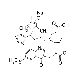 CSc1ccc2ncn(/C=C/C(=O)[O-])c(=O)c2c1.Cc1ccsc1C(=CCCN1CCC[C@@H](C(=O)O)C1)c1sccc1C.O.[Na+]